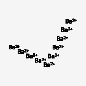 [Ba+2].[Ba+2].[Ba+2].[Ba+2].[Ba+2].[Ba+2].[Ba+2].[Ba+2].[Ba+2].[Ba+2]